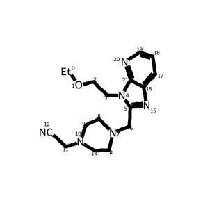 CCOCCn1c(CN2CCN(CC#N)CC2)nc2cccnc21